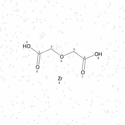 O=C(O)COCC(=O)O.[Zr]